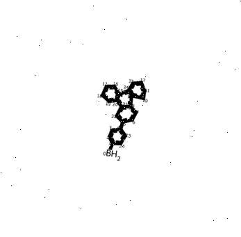 Bc1ccc(-c2ccc3c4ccccc4c4ccccc4c3c2)cc1